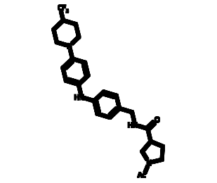 CC(=O)N1CCC(C(=O)NCc2ccc(Nc3ccc(N4CCC(C(F)(F)F)CC4)cc3)cc2)C1